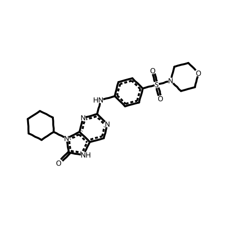 O=c1[nH]c2cnc(Nc3ccc(S(=O)(=O)N4CCOCC4)cc3)nc2n1C1CCCCC1